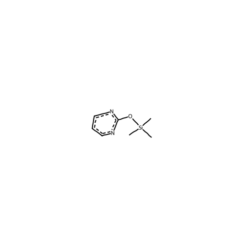 C[Si](C)(C)Oc1ncccn1